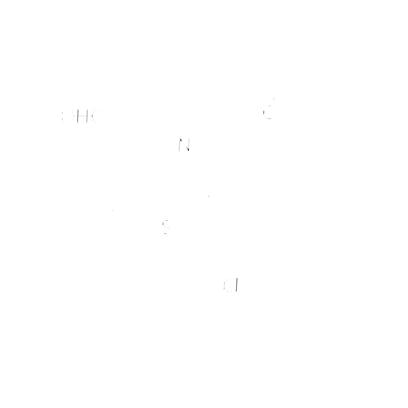 O=Cc1csc(-c2c(Cl)cccc2Cl)n1